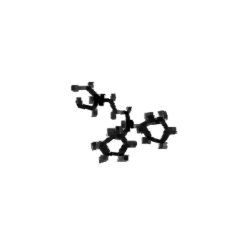 CCN(CC)CCCP(c1ccccc1)c1ccccc1